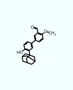 COc1ccc(-c2ccc(O)c(C34CC5CC(CC(C5)C3)C4)c2)cc1C=O